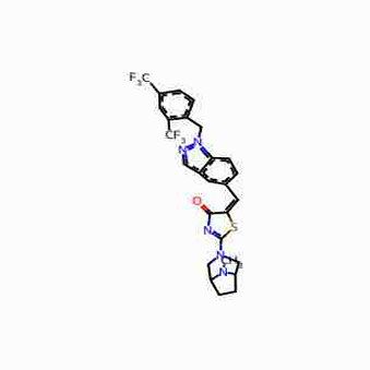 CN1C2CCC1CN(C1=NC(=O)C(=Cc3ccc4c(cnn4Cc4ccc(C(F)(F)F)cc4C(F)(F)F)c3)S1)C2